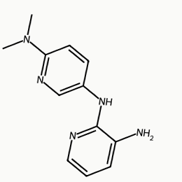 CN(C)c1ccc(Nc2ncccc2N)cn1